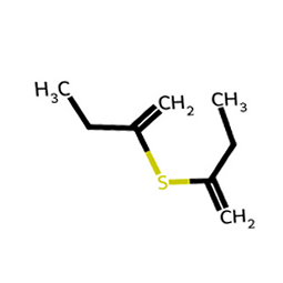 C=C(CC)SC(=C)CC